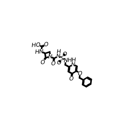 O=C(O)NC1CN(C(=O)NS(=O)(=O)NCc2cc(=O)c(OCc3ccccc3)c[nH]2)C1=O